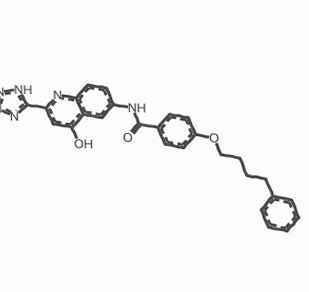 O=C(Nc1ccc2nc(-c3nnn[nH]3)cc(O)c2c1)c1ccc(OCCCCc2ccccc2)cc1